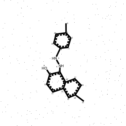 Cc1ccc(NNc2c(O)ccc3cc(C)ccc23)cc1